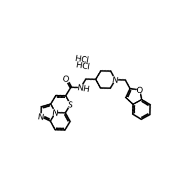 Cl.Cl.O=C(NCC1CCN(Cc2cc3ccccc3o2)CC1)C1=Cc2cnc3cccc(n23)S1